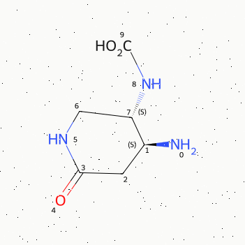 N[C@H]1CC(=O)NC[C@@H]1NC(=O)O